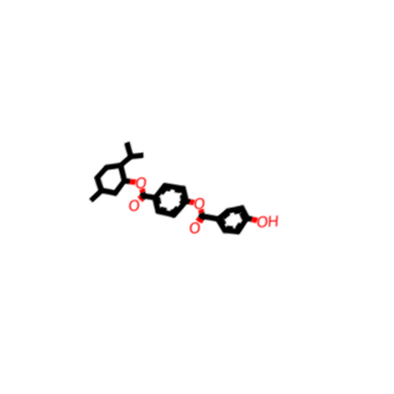 CC1CCC(C(C)C)C(OC(=O)c2ccc(OC(=O)c3ccc(O)cc3)cc2)C1